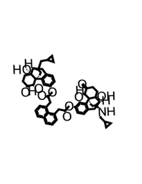 O=C(Cc1cccc2cccc(CC(=O)Oc3ccc4c5c3O[C@H]3C(=O)CC[C@@]6(O)[C@@H](C4)C(NCC4CC4)CC[C@]536)c12)Oc1ccc2c3c1O[C@H]1C(=O)CC[C@@]4(O)[C@@H](C2)C(CC2CC2)CC[C@]314